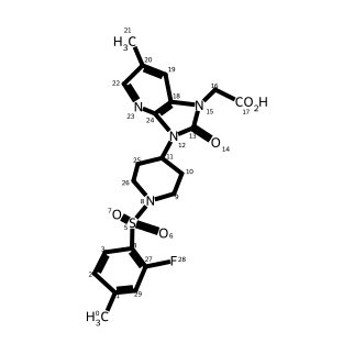 Cc1ccc(S(=O)(=O)N2CCC(n3c(=O)n(CC(=O)O)c4cc(C)cnc43)CC2)c(F)c1